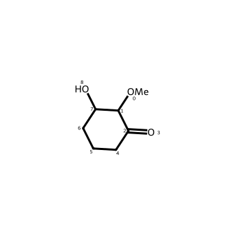 COC1C(=O)CCCC1O